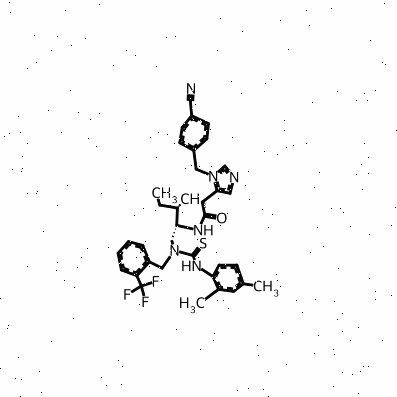 CC[C@H](C)[C@@H](CN(Cc1ccccc1C(F)(F)F)C(=S)Nc1ccc(C)cc1C)NC(=O)Cc1cncn1Cc1ccc(C#N)cc1